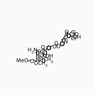 CC[C@@]1(O)C(=O)OCc2c1cc1n(c2=O)Cc2cc3cc(OC(=O)OCc4ccc(NC(=O)[C@H](CC(N)=O)NC(=O)[C@@H](NC(=O)[C@H](C)NC(=O)COCCOC)C(C)O)cc4)ccc3nc2-1